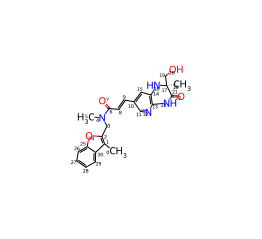 Cc1c(CN(C)C(=O)/C=C/c2cnc3c(c2)N[C@@](C)(CO)C(=O)N3)oc2ccccc12